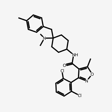 Cc1ccc(CC2(N(C)C)CCC(NC(=O)c3c(-c4c(Cl)cccc4Cl)noc3C)CC2)cc1